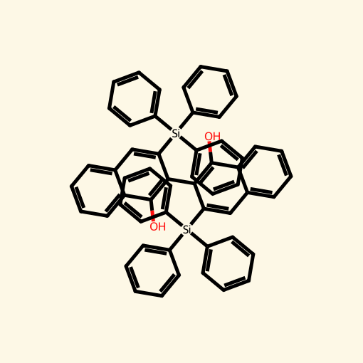 Oc1c(-c2c([Si](c3ccccc3)(c3ccccc3)c3ccccc3)cc3ccccc3c2O)c([Si](c2ccccc2)(c2ccccc2)c2ccccc2)cc2ccccc12